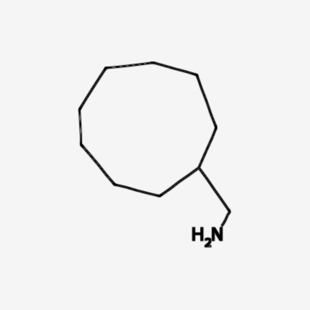 NCC1CCCCCCCC1